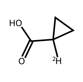 [2H]C1(C(=O)O)CC1